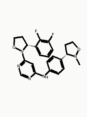 CN1OCC[C@H]1c1ccc(Nc2cc(N3OCC[C@@H]3c3cccc(F)c3F)ncn2)cc1